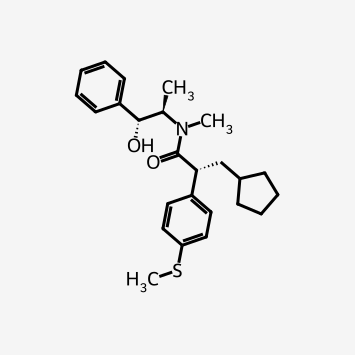 CSc1ccc([C@@H](CC2CCCC2)C(=O)N(C)[C@H](C)[C@H](O)c2ccccc2)cc1